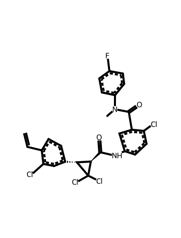 C=Cc1ccc([C@@H]2[C@@H](C(=O)Nc3ccc(Cl)c(C(=O)N(C)c4ccc(F)cc4)c3)C2(Cl)Cl)cc1Cl